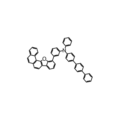 c1ccc(-c2ccc(-c3ccc(N(c4ccccc4)c4cccc(-c5cccc6c5oc5c6ccc6ccc7ccccc7c65)c4)cc3)cc2)cc1